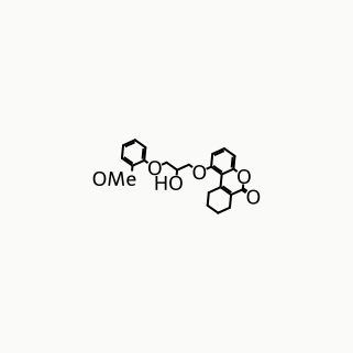 COc1ccccc1OCC(O)COc1cccc2oc(=O)c3c(c12)CCCC3